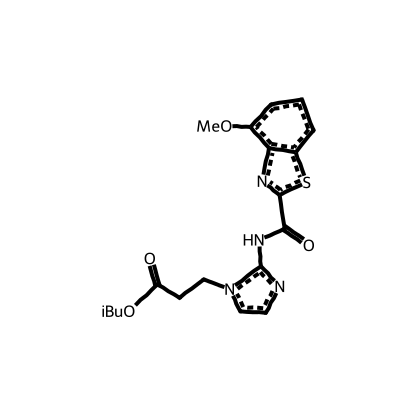 COc1cccc2sc(C(=O)Nc3nccn3CCC(=O)OCC(C)C)nc12